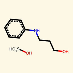 O=S(=O)(O)O.OCCCNc1ccccc1